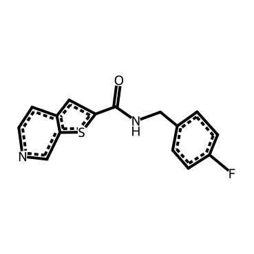 O=C(NCc1ccc(F)cc1)c1cc2ccncc2s1